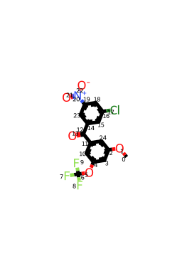 COc1cc(OC(F)(F)F)cc(C(=O)c2cc(Cl)cc([N+](=O)[O-])c2)c1